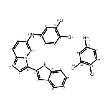 Clc1ccc(Nc2ccc3ncc(-c4cc5ccccc5s4)n3n2)cc1Cl.Nc1ccc(Cl)c(Cl)c1